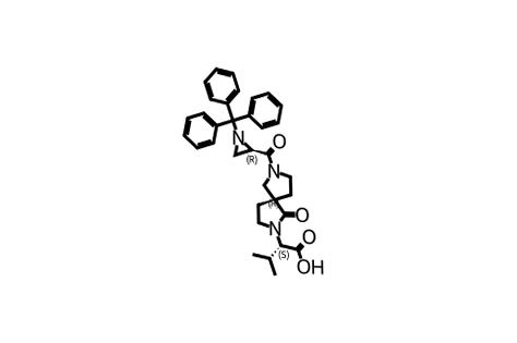 CC(C)[C@@H](C(=O)O)N1CC[C@@]2(CCN(C(=O)[C@H]3CN3C(c3ccccc3)(c3ccccc3)c3ccccc3)C2)C1=O